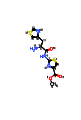 COC(=O)c1csc(NC(=O)[C@@H](N)Cc2cscn2)n1